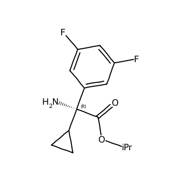 CC(C)OC(=O)[C@](N)(c1cc(F)cc(F)c1)C1CC1